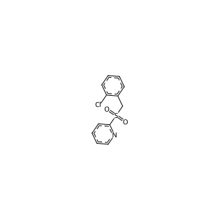 O=S(=O)(Cc1ccccc1Cl)c1ccccn1